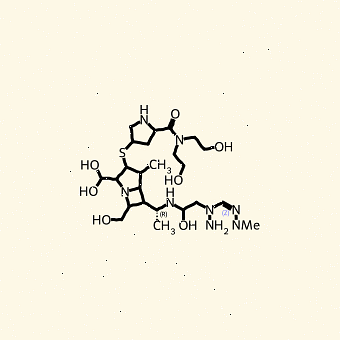 CN/N=C\N(N)CC(O)N[C@H](C)C1C(CO)N2C(C(O)O)C(SC3CNC(C(=O)N(CCO)CCO)C3)C(C)C12